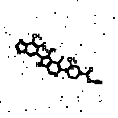 Cc1c(-c2[nH]c3cnc(N4CCN(C(=O)OC(C)(C)C)C[C@H]4C)c(F)c3c2C(C)C)cn2ncnc2c1C